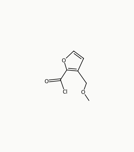 COCc1ccoc1C(=O)Cl